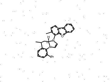 Cc1ccc2c(oc3ccccc32)c1N1C=CN2c3c(C(C)C)cccc3C(C)C[C@@H]21